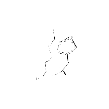 C[C@@](N)(Cc1c[nH]cn1)C(=O)O.NCCCNCC(=O)O